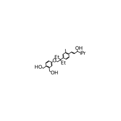 CCC(CC)(COc1ccc(CO)c(CO)c1)c1ccc(C=CC(O)C(C)C)c(C)c1